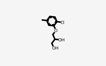 Cc1ccc(Cl)c(OCC(O)CO)c1